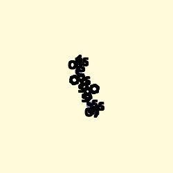 CCN1C(=O)/C(=C/C2=Cc3sc4c5c(sc4c3C23CCCCC3)-c2sc(/C=C3\SC(=S)N(CC)C3=O)cc2C52CCCCC2)SC1=S